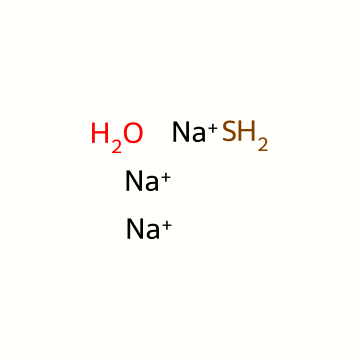 O.S.[Na+].[Na+].[Na+]